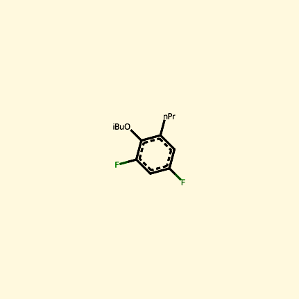 CCCc1cc(F)cc(F)c1OCC(C)C